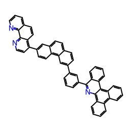 c1cc(-c2ccc3ccc4cc(-c5ccnc6c5ccc5cccnc56)ccc4c3c2)cc(-c2nc3c4ccccc4c4ccccc4c3c3ccccc23)c1